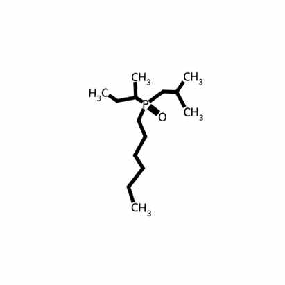 CCCCCCP(=O)(CC(C)C)C(C)CC